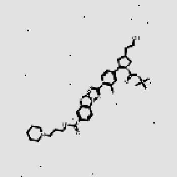 CC(C)(C)OC(=O)N1CC(CCO)CC1c1ccc(-c2nc3sc4cc(C(=O)NCCCN5CCCCC5)ccc4n3n2)c(F)c1